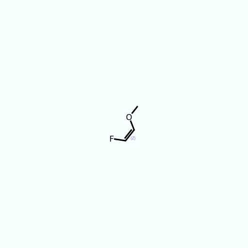 CO/C=C\F